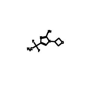 CC(C)c1nc(C(C)(F)F)cn1C1COC1